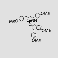 COc1ccc(CCC(Cc2ccc(OC)cc2)OB(O)OC(CCc2ccc(OC)cc2)Cc2ccc(OC)cc2)cc1